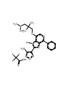 CCn1c(-c2nonc2N)nc2c(-c3ccccc3)ncc(OCC(C)(C)CN(C)C)c21.O=C(O)C(F)(F)F